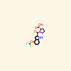 O=C(O)[C@@H]1CCCN1C(=O)c1cc2c(OC(F)F)cccc2[nH]1